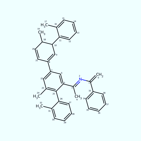 C=C(/N=C(\C)c1cc(C2=CC(c3ccccc3C)C(C)C=C2)cc(C)c1-c1ccccc1C)c1ccccc1